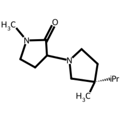 CC(C)[C@@]1(C)CCN(C2CCN(C)C2=O)C1